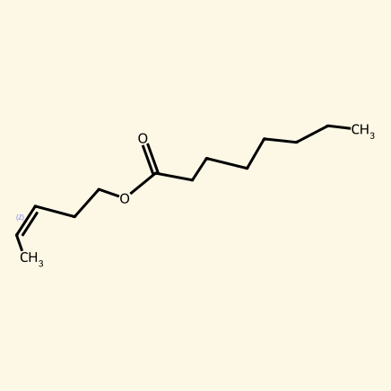 C/C=C\CCOC(=O)CCCCCCC